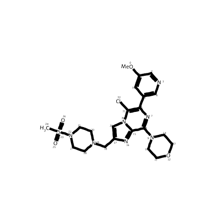 COc1cncc(-c2nc(N3CCOCC3)c3nc(CN4CCN(S(C)(=O)=O)CC4)cn3c2Cl)c1